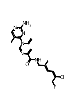 C=CN(/C=N\C(=C)C(=O)NC/C(C)=C/C=C(/Cl)CF)c1nc(N)ncc1C